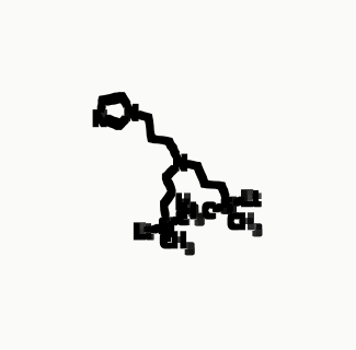 CC[Si](C)(C)CCCN(CCCn1ccnc1)CCC[Si](C)(C)CC